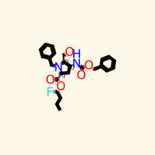 CCCC(F)OC(=O)[C@H]1C[C@@H](NC(=O)OCc2ccccc2)[C@H](C=O)N1Cc1ccccc1